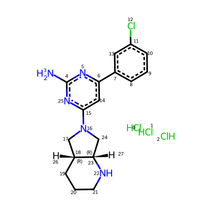 Cl.Cl.Cl.Nc1nc(-c2cccc(Cl)c2)cc(N2C[C@H]3CCCN[C@H]3C2)n1